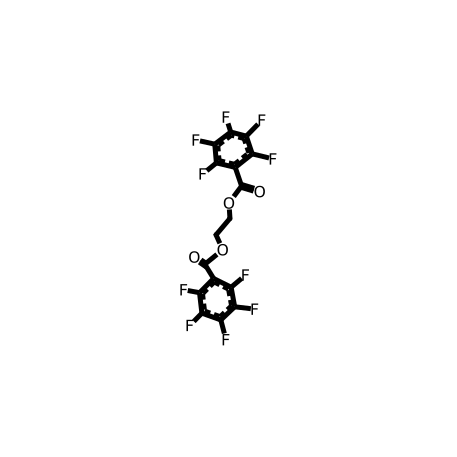 O=C(OCCOC(=O)c1c(F)c(F)c(F)c(F)c1F)c1c(F)c(F)c(F)c(F)c1F